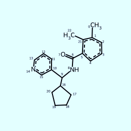 Cc1cccc(C(=O)NC(c2cccnc2)C2CCCC2)c1C